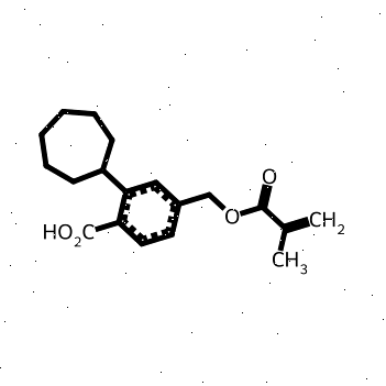 C=C(C)C(=O)OCc1ccc(C(=O)O)c(C2CCCCCC2)c1